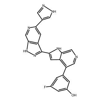 Oc1cc(F)cc(-c2cncc3[nH]c(-c4n[nH]c5cnc(-c6cn[nH]c6)cc45)cc23)c1